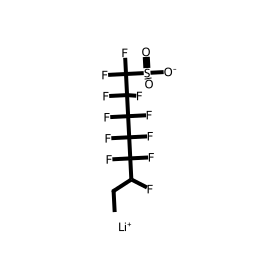 CCC(F)C(F)(F)C(F)(F)C(F)(F)C(F)(F)C(F)(F)S(=O)(=O)[O-].[Li+]